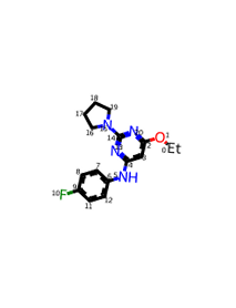 CCOc1cc(Nc2ccc(F)cc2)nc(N2CCCC2)n1